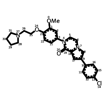 COc1cc(-n2ccn3cc(-c4ccc(Cl)cc4)cc3c2=O)ccc1OCCN1CCCC1